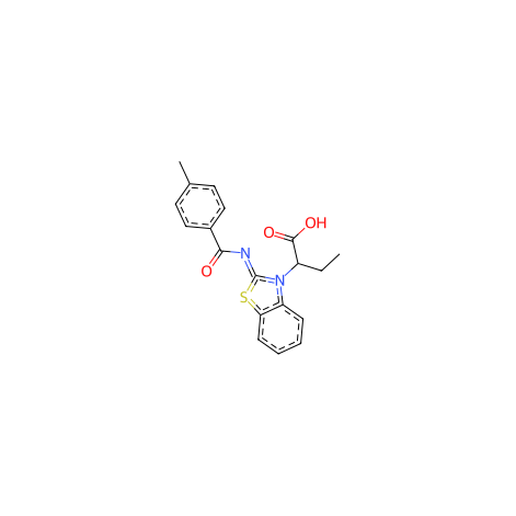 CCC(C(=O)O)n1c(=NC(=O)c2ccc(C)cc2)sc2ccccc21